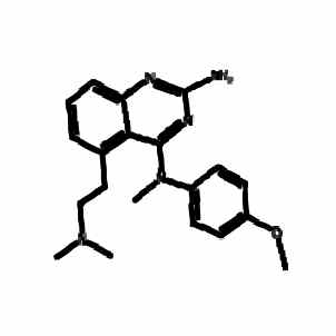 COc1ccc(N(C)c2nc(N)nc3cccc(CCN(C)C)c23)cc1